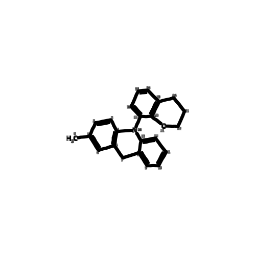 Cc1ccc2c(c1)Cc1ccccc1N2c1cccc2c1OCCC2